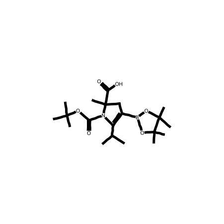 CC(C)C1=C(B2OC(C)(C)C(C)(C)O2)CC(C)(C(=O)O)N1C(=O)OC(C)(C)C